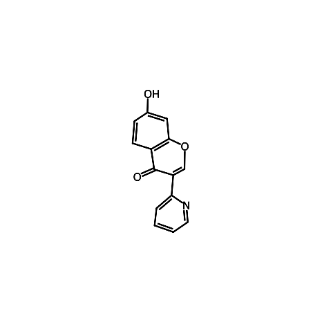 O=c1c(-c2ccccn2)coc2cc(O)ccc12